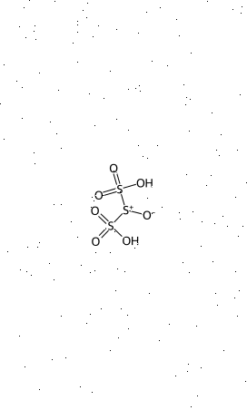 O=S(=O)(O)[S+]([O-])S(=O)(=O)O